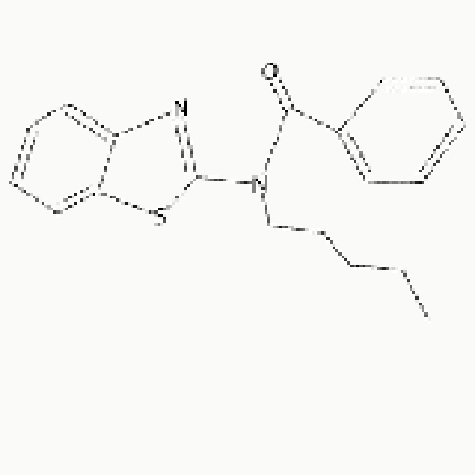 CCCCCN(C(=O)c1ccccc1)c1nc2ccccc2s1